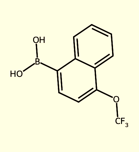 OB(O)c1ccc(OC(F)(F)F)c2ccccc12